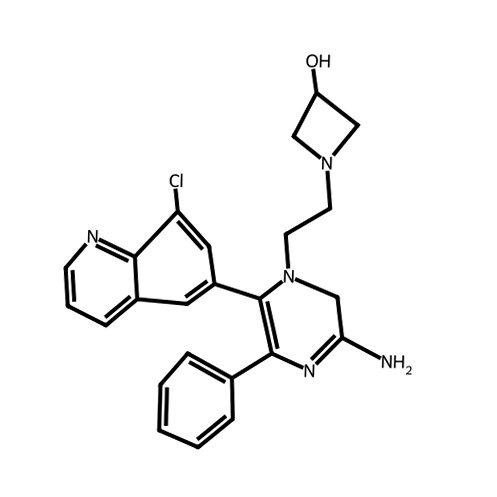 NC1=NC(c2ccccc2)=C(c2cc(Cl)c3ncccc3c2)N(CCN2CC(O)C2)C1